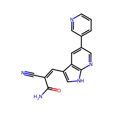 N#CC(=Cc1c[nH]c2ncc(-c3cccnc3)cc12)C(N)=O